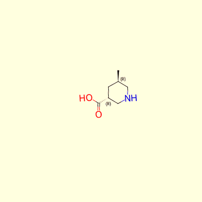 C[C@H]1CNC[C@H](C(=O)O)C1